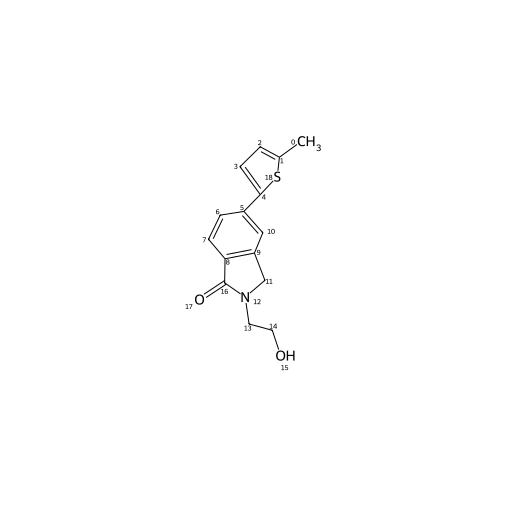 Cc1ccc(-c2ccc3c(c2)CN(CCO)C3=O)s1